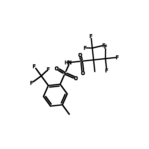 Cc1ccc(C(F)(F)F)c(S(=O)(=O)NS(=O)(=O)C(C)(C(F)(F)F)C(F)(F)F)c1